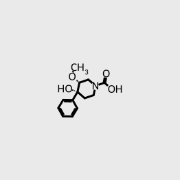 CO[C@@H]1CN(C(=O)O)CC[C@@]1(O)c1ccccc1